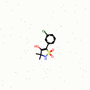 CC1(C)NS(=O)(=O)C(c2cccc(Cl)c2)=C1O